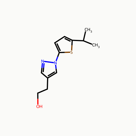 CC(C)c1ccc(-n2cc(CCO)cn2)s1